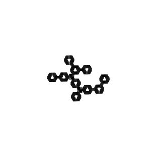 c1ccc(-c2ccc(N(c3ccc(N(c4ccccc4)c4ccc(-c5cccc(-c6ccccc6)c5)cc4)cc3)c3cc(-c4ccccc4)cc(-c4ccccc4)c3)cc2)cc1